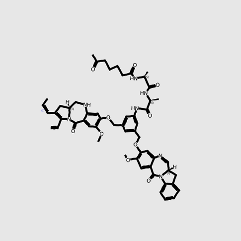 C=CC1=C(/C=C\C)C[C@H]2CNc3cc(OCc4cc(COc5cc6c(cc5OC)C(=O)N5c7ccccc7C[C@H]5C=N6)cc(NC(=O)[C@H](C)NC(=O)[C@H](C)NC(=O)CCCCC(C)=O)c4)c(OC)cc3C(=O)N12